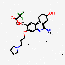 COc1cc2c3c(c(NC(C)C)nc2cc1OCCCN1CCCC1)CC(O)CC3.O=C(O)C(F)(F)F